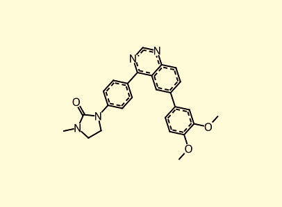 COc1ccc(-c2ccc3ncnc(-c4ccc(N5CCN(C)C5=O)cc4)c3c2)cc1OC